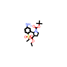 CCOC(=O)C1CCN(C(=O)OC(C)(C)C)C1c1cc(N)ccc1S(=O)(=O)CC